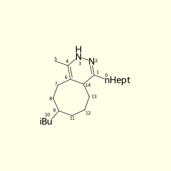 CCCCCCCC1=NNC(C)=C2CCC(C(C)CC)CCCC12